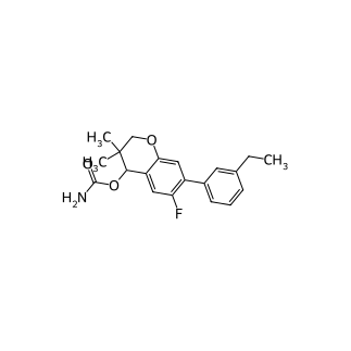 CCc1cccc(-c2cc3c(cc2F)C(OC(N)=O)C(C)(C)CO3)c1